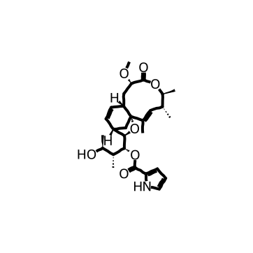 CO[C@H]1C[C@H]2C=C[C@@H]3C[C@]2(O[C@H]3[C@H](OC(=O)c2ccc[nH]2)[C@H](C)[C@H](C)O)/C(C)=C/[C@@H](C)[C@H](C)OC1=O